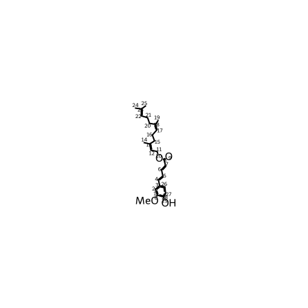 COc1cc(C=CC=CC(=O)OCC=C(C)CCC=C(C)CCC=C(C)C)ccc1O